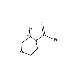 CC(C)C(=O)N1CCOC[C@H]1C(C)C